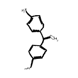 CCCc1ccc(C(C)c2ccc(N)cc2)cc1